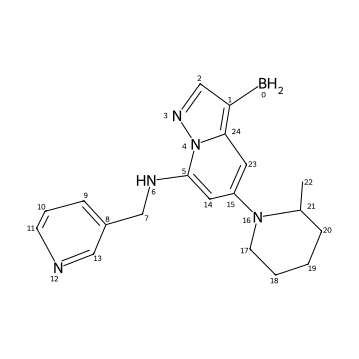 Bc1cnn2c(NCc3cccnc3)cc(N3CCCCC3C)cc12